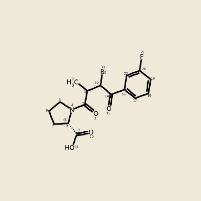 CC(C(=O)N1CCC[C@H]1C(=O)O)C(Br)C(=O)c1cccc(F)c1